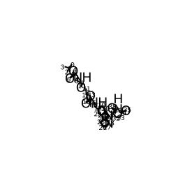 CC(C)(C)OC(=O)NCCOCCOC(=O)NCc1ccc2c(c1)c1cccnc1n2C1CCC(=O)NC1=O